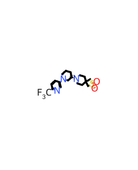 O=S1(=O)CC2(CCN([C@H]3CCCN(c4ccc(C(F)(F)F)nc4)C3)CC2)C1